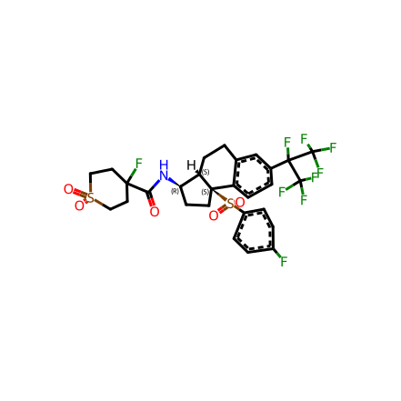 O=C(N[C@@H]1CC[C@@]2(S(=O)(=O)c3ccc(F)cc3)c3ccc(C(F)(C(F)(F)F)C(F)(F)F)cc3CC[C@@H]12)C1(F)CCS(=O)(=O)CC1